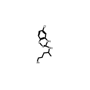 CC(C)CCCC(C)NC1=NSc2ccc(Cl)cc2N1